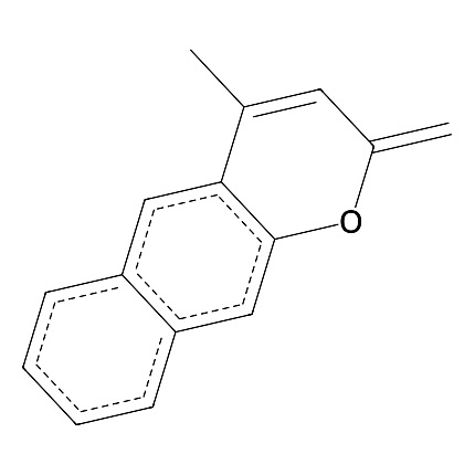 C=C1C=C(C)c2cc3ccccc3cc2O1